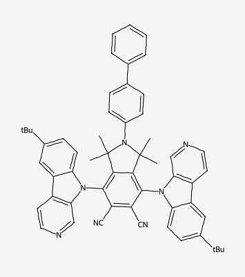 CC(C)(C)c1ccc2c(c1)c1ccncc1n2-c1c(C#N)c(C#N)c(-n2c3ccc(C(C)(C)C)cc3c3ccncc32)c2c1C(C)(C)N(c1ccc(-c3ccccc3)cc1)C2(C)C